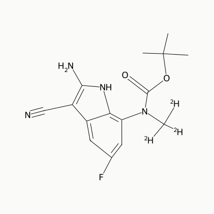 [2H]C([2H])([2H])N(C(=O)OC(C)(C)C)c1cc(F)cc2c(C#N)c(N)[nH]c12